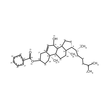 CC(C)CCC[C@@H](C)[C@H]1CCC2C3C(O)C=C4CC(OC(=O)c5ccccc5)CC[C@]4(C)C3CC[C@@]21C